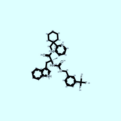 C[C@@](Cc1c[nH]c2ccccc12)(NC(=O)OCc1cccc(C(F)(F)F)c1)C(=O)NCC1(c2ccccn2)CCCCC1